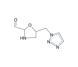 O=CC1NCC(Cn2ccnn2)O1